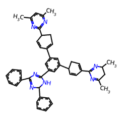 CC1=NC(C2=CCC(c3cc(C4=CCC(c5nc(C)cc(C)n5)C=C4)cc(C4=NC(c5ccccc5)=NC(c5ccccc5)N4)c3)C=C2)=NC(C)C1